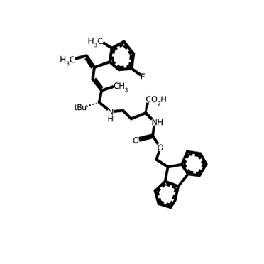 C/C=C(\C=C(/C)[C@H](NCC[C@H](NC(=O)OCC1c2ccccc2-c2ccccc21)C(=O)O)C(C)(C)C)c1cc(F)ccc1C